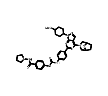 COC1CCC(n2ncc3c(N4CC5CCC(C4)O5)nc(-c4ccc(NC(=O)Nc5ccc(C(=O)NN6CCCC6)cc5)cc4)nc32)CC1